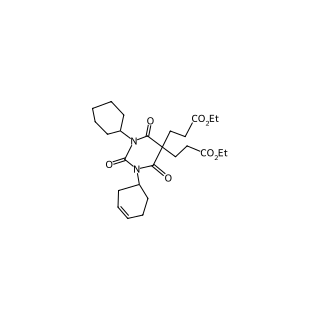 CCOC(=O)CCC1(CCC(=O)OCC)C(=O)N(C2CC=CCC2)C(=O)N(C2CCCCC2)C1=O